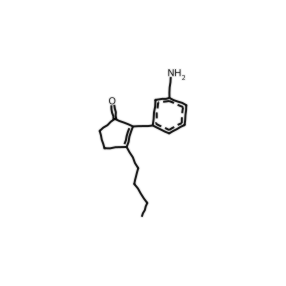 CCCCC1=C(c2cccc(N)c2)C(=O)CC1